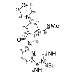 CCC(C)N(C=N)C(=N)c1cccc(N2Cc3c(CNC)cc(N4CCOCC4)cc3C2=O)n1